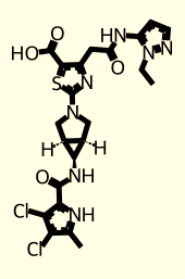 CCn1nccc1NC(=O)Cc1nc(N2C[C@@H]3[C@H](C2)[C@@H]3NC(=O)c2[nH]c(C)c(Cl)c2Cl)sc1C(=O)O